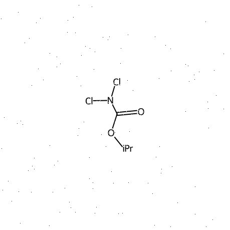 CC(C)OC(=O)N(Cl)Cl